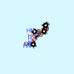 O=c1[nH]c2cccc(OC[C@H](O)CN(C3CCNCC3)S(=O)(=O)c3ccc4oc5ccccc5c4c3)c2[nH]1